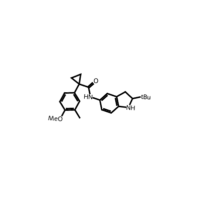 COc1ccc(C2(C(=O)Nc3ccc4c(c3)CC(C(C)(C)C)N4)CC2)cc1C